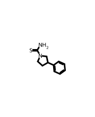 NC(=S)N1CCC(c2ccccc2)C1